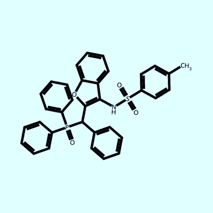 Cc1ccc(S(=O)(=O)Nc2c(C(c3ccccc3)P(=O)(c3ccccc3)c3ccccc3)oc3ccccc23)cc1